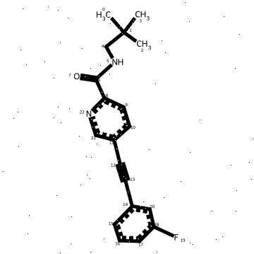 CC(C)(C)CNC(=O)c1ccc(C#Cc2cccc(F)c2)cn1